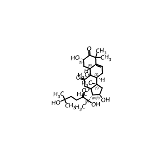 CC(C)(O)CCC(=O)[C@](C)(O)[C@H]1[C@H](O)C[C@@]2(C)[C@@H]3CC=C4[C@@H](C[C@H](O)C(=O)C4(C)C)[C@]3(C)C(=O)C[C@]12C